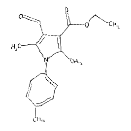 CCOC(=O)c1c(C=O)c(C)n(-c2ccc(C)cc2)c1C